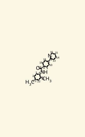 Cc1ccc(NC(=O)c2ccc(-c3ccccn3)cc2)c(C)c1